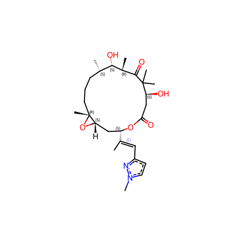 C/C(=C\c1ccn(C)n1)[C@@H]1C[C@@H]2O[C@]2(C)CCC[C@H](C)[C@H](O)[C@@H](C)C(=O)C(C)(C)[C@@H](O)CC(=O)O1